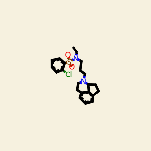 CCN(CCCN1CCc2cccc3c2C1CC3)S(=O)(=O)c1ccccc1Cl